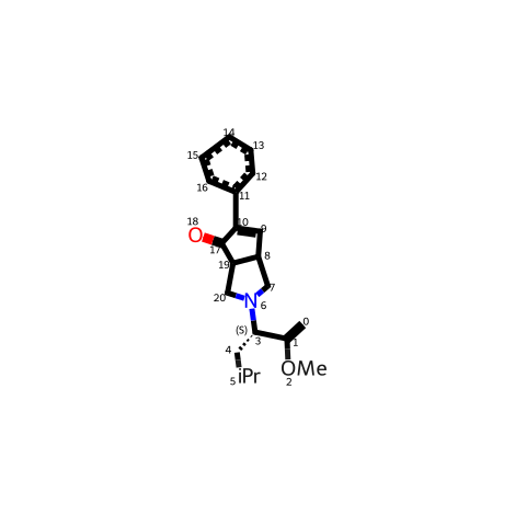 C=C(OC)[C@H](CC(C)C)N1CC2C=C(c3ccccc3)C(=O)C2C1